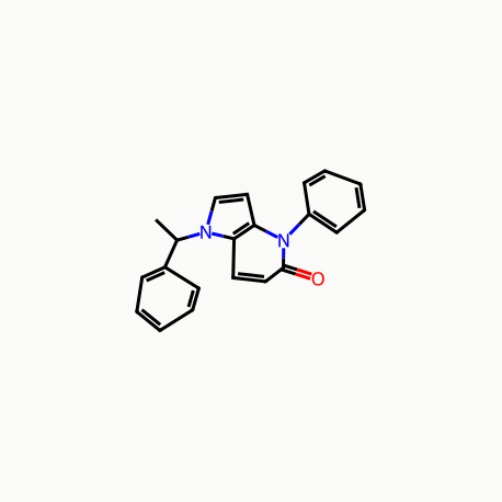 CC(c1ccccc1)n1ccc2c1ccc(=O)n2-c1ccccc1